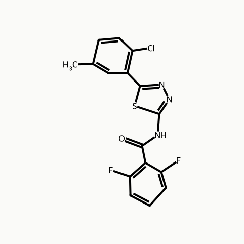 Cc1ccc(Cl)c(-c2nnc(NC(=O)c3c(F)cccc3F)s2)c1